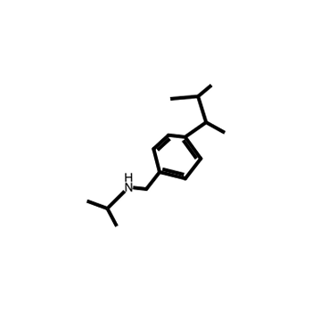 CC(C)NCc1ccc(C(C)C(C)C)cc1